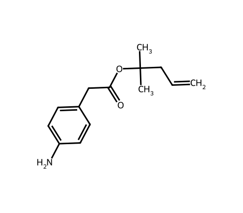 C=CCC(C)(C)OC(=O)Cc1ccc(N)cc1